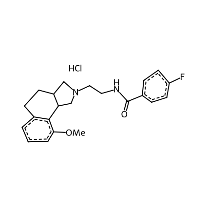 COc1cccc2c1C1CN(CCNC(=O)c3ccc(F)cc3)CC1CC2.Cl